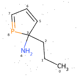 CCCC1(N)C=CC=P1